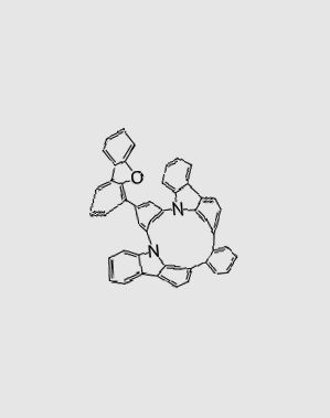 c1ccc2c(c1)oc1c(-c3cc4cc(c3)n3c5ccccc5c5ccc(cc53)c3ccccc3c3ccc5c6ccccc6n4c5c3)cccc12